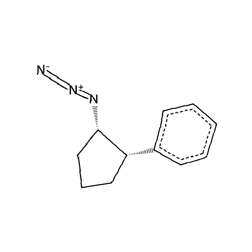 [N-]=[N+]=N[C@H]1CCC[C@H]1c1ccccc1